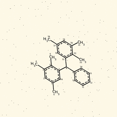 Cc1[c]c(C)c(C)c(C(c2ccccc2)c2cc(C)[c]c(C)c2C)c1